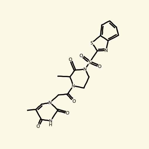 Cc1cn(CC(=O)N2CCN(S(=O)(=O)c3nc4ccccc4s3)C(=O)C2C)c(=O)[nH]c1=O